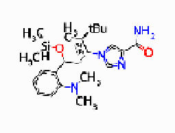 C[C@H]([C@@H](CC(O[SiH](C)C)c1ccccc1N(C)C)n1cnc(C(N)=O)c1)C(C)(C)C